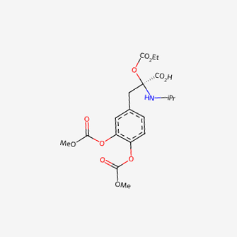 CCOC(=O)O[C@](Cc1ccc(OC(=O)OC)c(OC(=O)OC)c1)(NC(C)C)C(=O)O